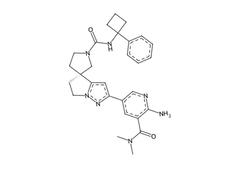 CN(C)C(=O)c1cc(-c2cc3n(n2)CC[C@@]32CCN(C(=O)NC3(c4ccccc4)CCC3)C2)cnc1N